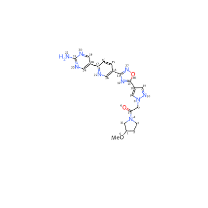 COC1CCN(C(=O)Cn2cc(-c3nc(-c4ccc(-c5cnc(N)nc5)nc4)no3)cn2)C1